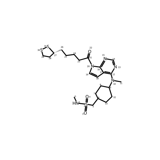 CNS(=O)(=O)CC1CCC(N(C)c2ncnc3c2ccn3C(=O)CCCC[C@@H]2CCSS2)CC1